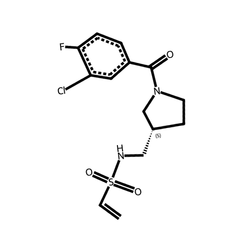 C=CS(=O)(=O)NC[C@H]1CCN(C(=O)c2ccc(F)c(Cl)c2)C1